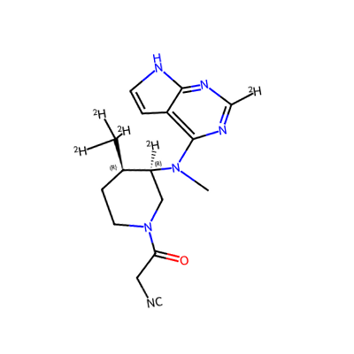 [2H]c1nc(N(C)[C@@]2([2H])CN(C(=O)C[N+]#[C-])CC[C@H]2C([2H])([2H])[2H])c2cc[nH]c2n1